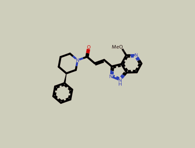 COc1nccc2[nH]nc(/C=C/C(=O)N3CCC[C@H](c4ccccc4)C3)c12